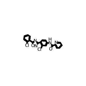 O=C(Nc1ccc(-c2noc(-c3ccccc3Cl)n2)c(Cl)c1)c1ccccn1